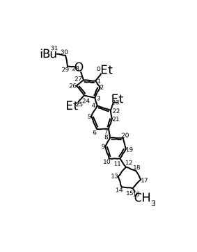 CCc1cc(-c2ccc(-c3ccc(C4CCC(C)CC4)cc3)cc2CC)c(CC)cc1OCCC(C)CC